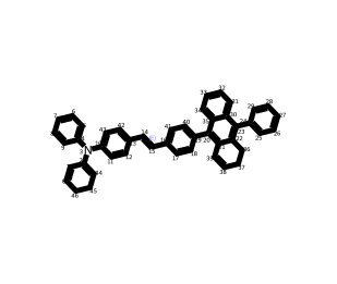 C1=CC(N(c2ccccc2)c2ccc(/C=C/c3ccc(-c4c5c(c(-c6ccccc6)c6ccccc46)CCC=C5)cc3)cc2)=CCC1